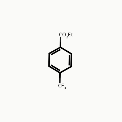 CCOC(=O)c1ccc(C(F)(F)F)cc1